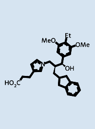 CCc1c(OC)cc([C@@H](O)[C@@H](CC2Cc3ccccc3C2)Cn2ccc(CCC(=O)O)c2)cc1OC